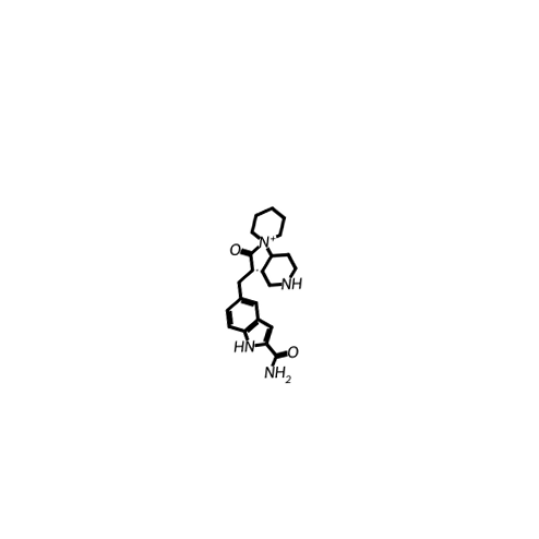 NC(=O)c1cc2cc(C[CH]C(=O)[N+]3(C4CCNCC4)CCCCC3)ccc2[nH]1